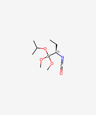 CC[C@@H](N=C=O)[Si](OC)(OC)OC(C)C